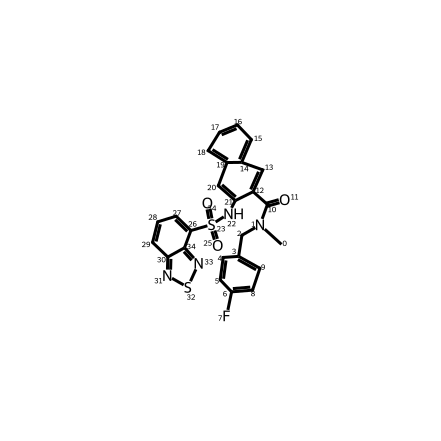 CN(Cc1ccc(F)cc1)C(=O)c1cc2ccccc2cc1NS(=O)(=O)c1cccc2nsnc12